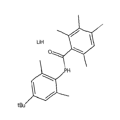 Cc1cc(C)c(C(=O)Pc2c(C)cc(C(C)(C)C)cc2C)c(C)c1C.[LiH]